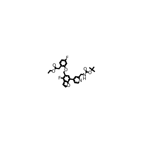 CCOC(=O)Cc1ccc(F)cc1OCc1cc(-c2ccnc(CNC(=O)OC(C)(C)C)c2)c2occc2c1F